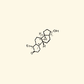 CC[C@@H]1C(=O)CC[C@@]2(C)C1CC[C@H]1[C@@H]3CC[C@H](O)[C@@]3(C)CC[C@@H]12